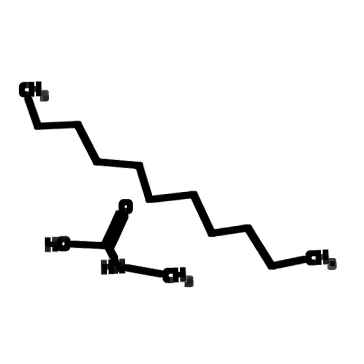 CCCCCCCCCCC.CNC(=O)O